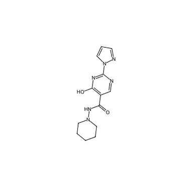 O=C(NN1CCCCC1)c1cnc(-n2cccn2)nc1O